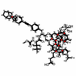 COC(=O)N[C@H](C(=O)N[C@@H](Cc1ccc(C#Cc2cnc(N3CC4CCC(C3)N4C3COC3)nc2)cc1)[C@H](CN(Cc1c(F)cc(-c2ccn(C(F)F)n2)cc1F)NC(=O)[C@@H](NC(=O)OC)C(C)(C)C(F)(F)F)OC(=O)CC(C)(C)c1c(CC(=O)NC(CCCC(=O)O)C(=O)O)cc(C)cc1OP(=O)(O)O)C(C)(C)C(F)(F)F